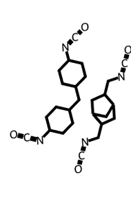 O=C=NC1CCC(CC2CCC(N=C=O)CC2)CC1.O=C=NCC1CC2CC1CC2CN=C=O